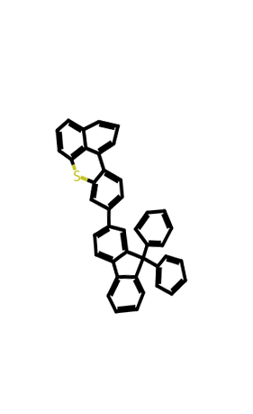 c1ccc(C2(c3ccccc3)c3ccccc3-c3ccc(-c4ccc5c(c4)Sc4cccc6cccc-5c46)cc32)cc1